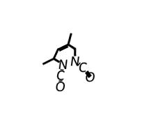 CC(=CC(C)N=C=O)CN=C=O